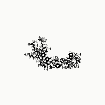 CC(C)[C@H](NC(=O)[C@@H](N)[C@@H](C)O)C(=O)N[C@@H](CS)C(=O)N[C@H](C(=O)N[C@@H](Cc1c[nH]c2ccccc12)C(=O)N[C@@H](Cc1ccc(O)cc1)C(=O)N[C@@H](CS)C(=O)N[C@@H](Cc1ccc(O)cc1)C(=O)N[C@@H](CS)C(=O)N[C@@H](C)C(=O)N[C@@H](C)C(=O)N[C@@H](Cc1ccc(O)cc1)C(=O)N[C@@H](CCC(N)=O)C(=O)N[C@@H](CCCNC(=N)N)C(=O)N[C@@H](C)C(=O)N[C@@H](CCCNC(=N)N)C(=O)O)[C@@H](C)O